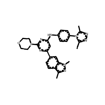 Cc1nn(C)c2cc(-c3cc(Nc4ccc(-n5c(C)nnc5C)cc4)nc(N4CCOCC4)n3)ccc12